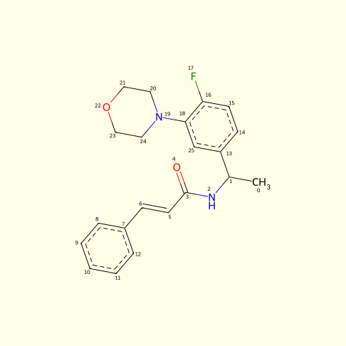 CC(NC(=O)C=Cc1ccccc1)c1ccc(F)c(N2CCOCC2)c1